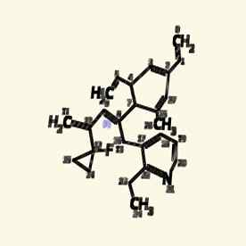 C=CC1=CC(C=C)C(/C(=C/C(=C)C2(F)CC2)Cc2cccnc2CC)C(C)=C1